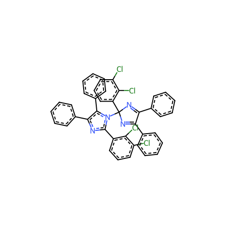 Clc1cccc(-c2nc(-c3ccccc3)c(-c3ccccc3)n2C2(c3cccc(Cl)c3Cl)N=C(c3ccccc3)C(c3ccccc3)=N2)c1Cl